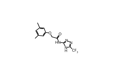 Cc1cc(C)cc(OCC(=O)Nc2nnc(C(F)(F)F)[nH]2)c1